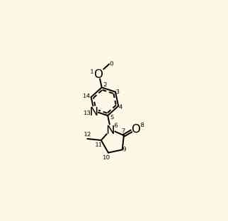 COc1ccc(N2C(=O)CCC2C)nc1